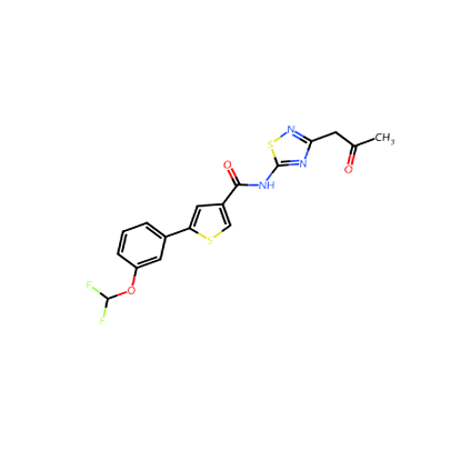 CC(=O)Cc1nsc(NC(=O)c2csc(-c3cccc(OC(F)F)c3)c2)n1